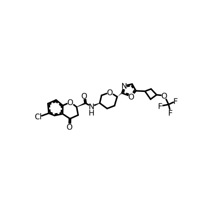 O=C1C[C@H](C(=O)N[C@@H]2CC[C@@H](c3ncc(C4CC(OC(F)(F)F)C4)o3)OC2)Oc2ccc(Cl)cc21